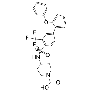 O=C(O)N1CCC(NS(=O)(=O)c2ccc(-c3ccccc3Oc3ccccc3)cc2C(F)(F)F)CC1